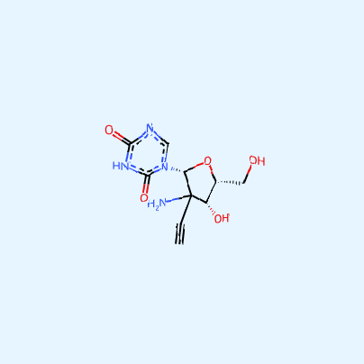 C#CC1(N)[C@@H](O)[C@@H](CO)O[C@H]1n1cnc(=O)[nH]c1=O